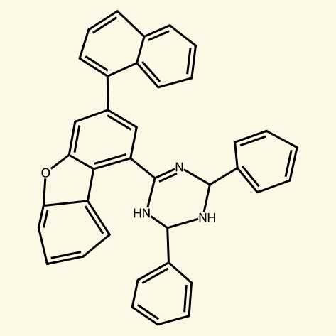 c1ccc(C2N=C(c3cc(-c4cccc5ccccc45)cc4oc5ccccc5c34)NC(c3ccccc3)N2)cc1